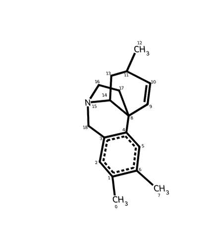 Cc1cc2c(cc1C)C13C=CC(C)CC1N(CC3)C2